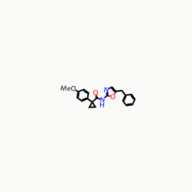 COc1ccc(C2(C(=O)Nc3ncc(Cc4ccccc4)o3)CC2)cc1